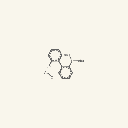 CC(=O)[O-].CCCCP(CCCC)c1ccccc1-c1cccc[c]1[Pd+]